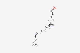 CCC/C=C\CCCC/C=C\CCCCCO